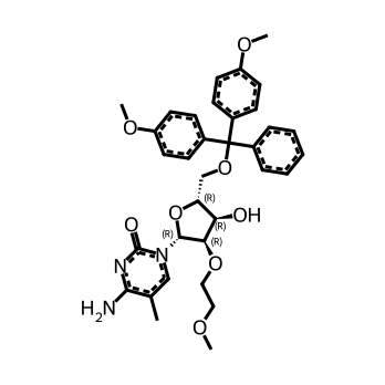 COCCO[C@@H]1[C@H](O)[C@@H](COC(c2ccccc2)(c2ccc(OC)cc2)c2ccc(OC)cc2)O[C@H]1n1cc(C)c(N)nc1=O